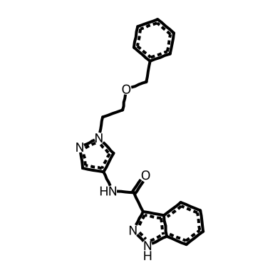 O=C(Nc1cnn(CCOCc2ccccc2)c1)c1n[nH]c2ccccc12